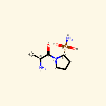 C[C@H](N)C(=O)N1CCC[C@H]1S(N)(=O)=O